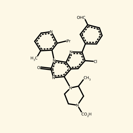 Cc1ccnc(C(C)C)c1-n1c(=O)nc(N2CCN(C(=O)O)CC2C)c2cc(Cl)c(-c3cccc(C=O)c3)nc21